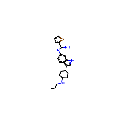 CCCN[C@H]1CC[C@@H](c2c[nH]c3cc(NC(=N)c4cccs4)ccc32)CC1